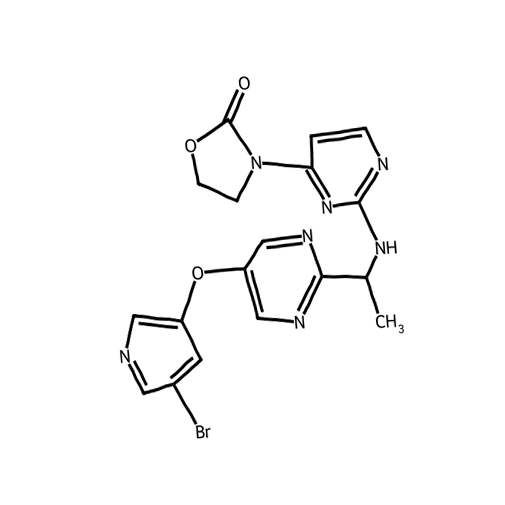 CC(Nc1nccc(N2CCOC2=O)n1)c1ncc(Oc2cncc(Br)c2)cn1